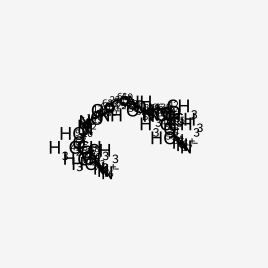 CC(CC(C)(C)OCC(O)Cn1cc(COC(=O)Nc2ccc(Cc3ccc(NC(=O)OCc4cn(CC(O)CC(C)(C)OC(C)CC(C)(C)OCC(O)CN=[N+]=[N-])nn4)cc3)cc2)nn1)OC(C)(C)CC(O)CN=[N+]=[N-]